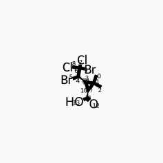 CC1(C)[C@H](C(Br)C(Cl)(Cl)Br)[C@@H]1C(=O)O